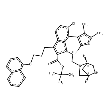 Cc1nn(C)c(C)c1-c1c(Cl)ccc2c(CCCOc3cccc4ccccc34)c(C(=O)OC(C)(C)C)n(CCN3C[C@@H]4C[C@H]3CN4)c12